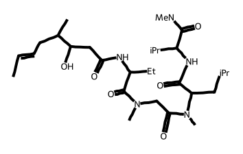 C/C=C/CC(C)C(O)CC(=O)NC(CC)C(=O)N(C)CC(=O)N(C)C(CC(C)C)C(=O)NC(C(=O)NC)C(C)C